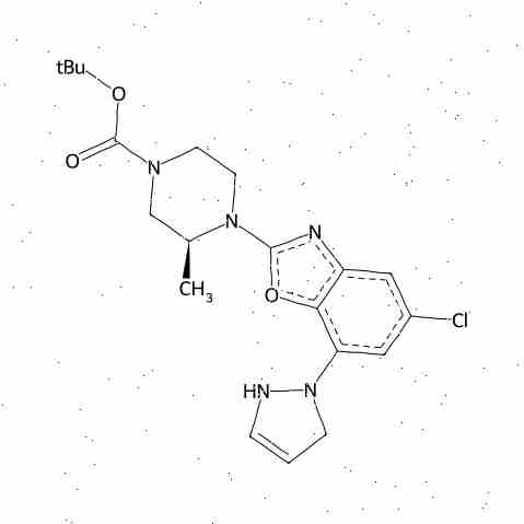 C[C@H]1CN(C(=O)OC(C)(C)C)CCN1c1nc2cc(Cl)cc(N3CC=CN3)c2o1